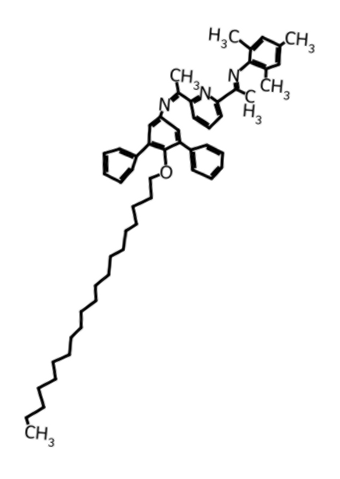 CCCCCCCCCCCCCCCCCCCCOc1c(-c2ccccc2)cc(N=C(C)c2cccc(C(C)=Nc3c(C)cc(C)cc3C)n2)cc1-c1ccccc1